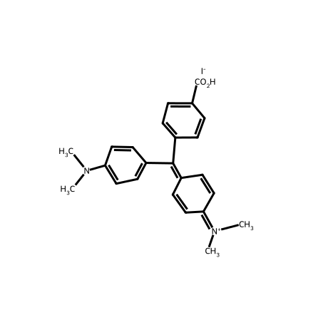 CN(C)c1ccc(C(=C2C=CC(=[N+](C)C)C=C2)c2ccc(C(=O)O)cc2)cc1.[I-]